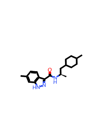 Cc1ccc2c(C(=O)N[C@H](C)CC3CCC(C)CC3)n[nH]c2c1